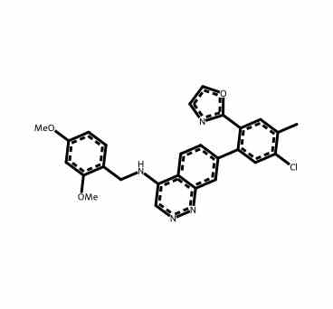 COc1ccc(CNc2cnnc3cc(-c4cc(Cl)c(C)cc4-c4ncco4)ccc23)c(OC)c1